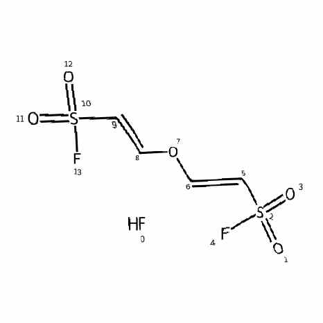 F.O=S(=O)(F)C=COC=CS(=O)(=O)F